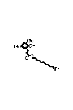 CC(C)CCCCCCCCCCOC(=O)CCc1cc(C(C)(C)C)cc(C(C)(C)C)c1O